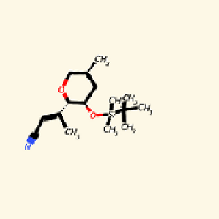 C/C(=C\C#N)[C@@H]1OC[C@@H](C)C[C@H]1O[Si](C)(C)C(C)(C)C